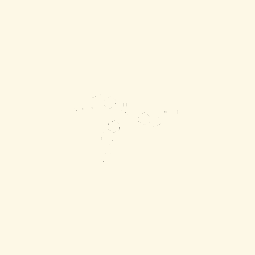 [2H]C([2H])(c1cccc(C[C@H](C(=O)O)[C@H]2CCNC2)c1)N(Cc1cccc(C[C@H](C(=O)O)[C@H]2CCNC2)c1)Cc1cccc(C[C@H](C(=O)O)[C@H]2CCNC2)c1